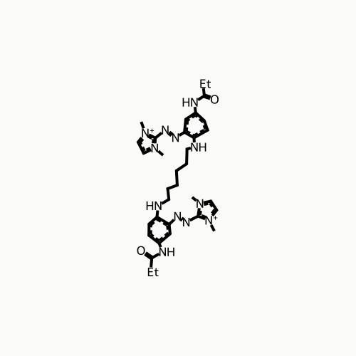 CCC(=O)Nc1ccc(NCCCCCCNc2ccc(NC(=O)CC)cc2/N=N/c2n(C)cc[n+]2C)c(/N=N/c2n(C)cc[n+]2C)c1